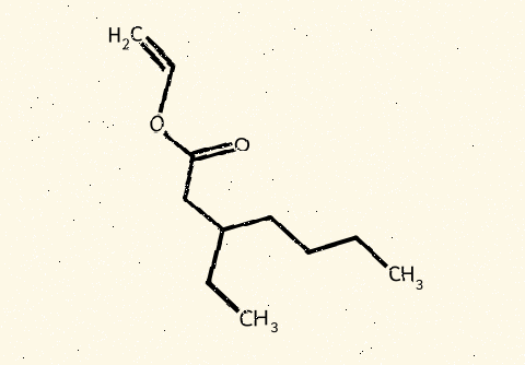 C=COC(=O)CC(CC)CCCC